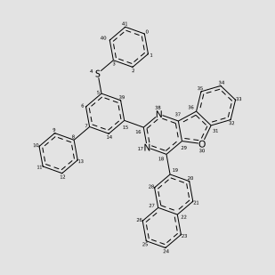 c1ccc(Sc2cc(-c3ccccc3)cc(-c3nc(-c4ccc5ccccc5c4)c4oc5ccccc5c4n3)c2)cc1